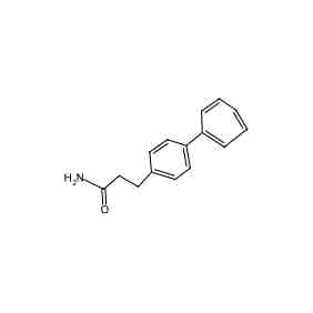 NC(=O)CCc1ccc(-c2ccccc2)cc1